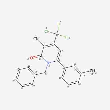 [C-]#[N+]c1c(C(F)(F)Cl)cc(-c2cccc(C)c2)n(Cc2ccccc2)c1=O